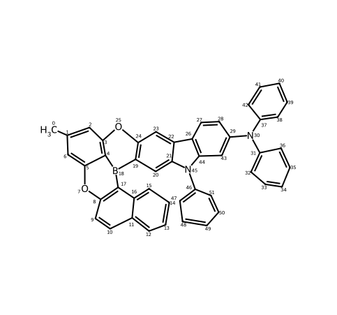 Cc1cc2c3c(c1)Oc1ccc4ccccc4c1B3c1cc3c(cc1O2)c1ccc(N(c2ccccc2)c2ccccc2)cc1n3-c1ccccc1